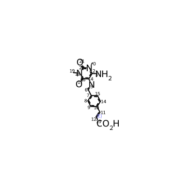 Cn1c(N)c(N=Cc2ccc(/C=C/C(=O)O)cc2)c(=O)n(C)c1=O